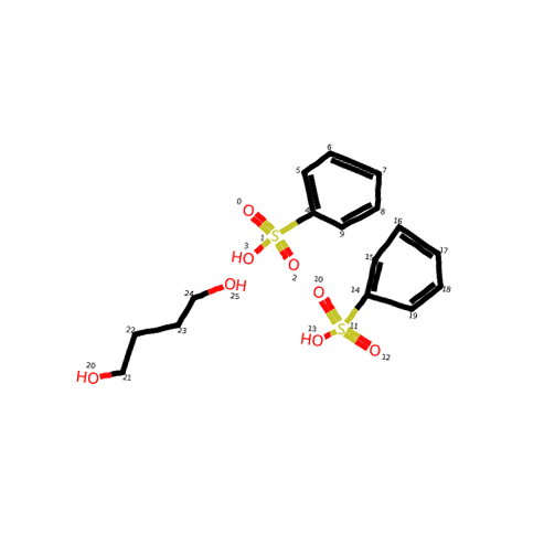 O=S(=O)(O)c1ccccc1.O=S(=O)(O)c1ccccc1.OCCCCO